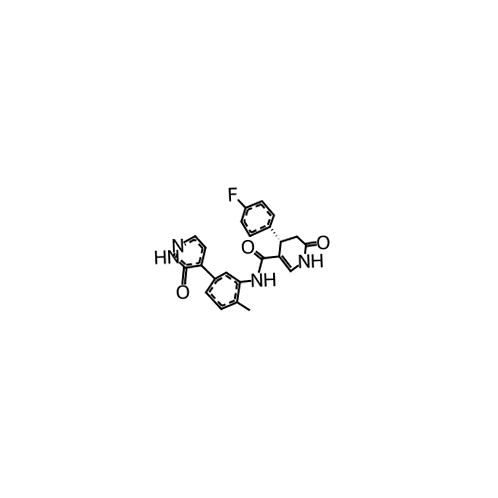 Cc1ccc(-c2ccn[nH]c2=O)cc1NC(=O)C1=CNC(=O)C[C@H]1c1ccc(F)cc1